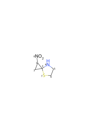 O=[N+]([O-])C1CC12NCCS2